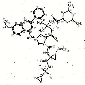 C=C[C@@H]1C[C@]1(NC(=O)[C@@H]1C[C@@H](Oc2cc(-c3ccccc3)nc3cc(OC)ccc23)CN1C(=O)[C@@H](CC(=O)N1CC(C)CC(C)C1)C(C)(C)C)C(=O)NS(=O)(=O)C1CC1